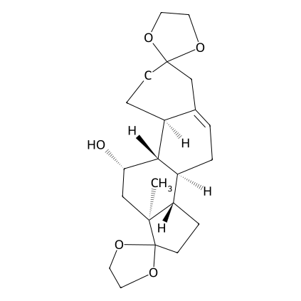 C[C@]12C[C@H](O)[C@H]3[C@@H](CC=C4CC5(CC[C@@H]43)OCCO5)[C@@H]1CCC21OCCO1